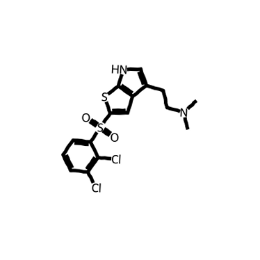 CN(C)CCc1c[nH]c2sc(S(=O)(=O)c3cccc(Cl)c3Cl)cc12